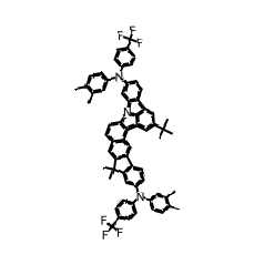 Cc1ccc(N(c2ccc(C(F)(F)F)cc2)c2ccc3c(c2)C(C)(C)c2cc4ccc5c(c4cc2-3)c2cc(C(C)(C)C)cc3c4ccc(N(c6ccc(C(F)(F)F)cc6)c6ccc(C)c(C)c6)cc4n5c32)cc1C